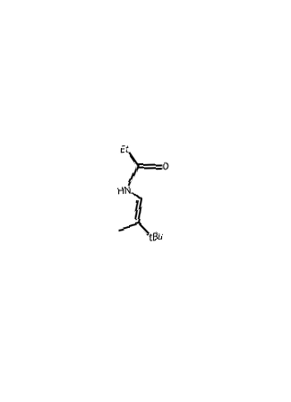 CCC(=O)N/C=C(\C)C(C)(C)C